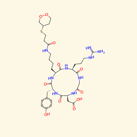 N=C(N)NCCC[C@@H]1NC(=O)[C@H](CCCCNC(=O)CCSC2CCOOC2)NC(=O)[C@@H](Cc2ccc(O)cc2)NC(=O)[C@H](CC(=O)O)NC(=O)CNC1=O